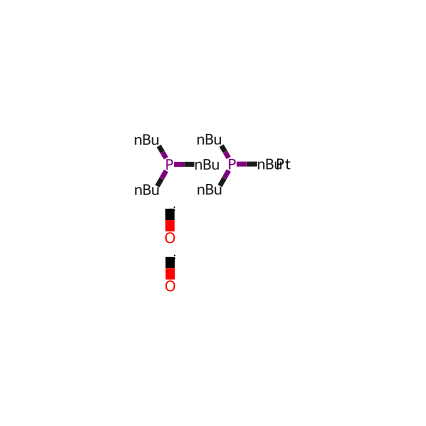 CCCCP(CCCC)CCCC.CCCCP(CCCC)CCCC.[C]=O.[C]=O.[Pt]